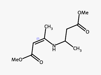 COC(=O)/C=C(/C)NC(C)CC(=O)OC